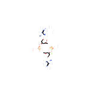 C=N/C(N)=C1/N=CN([C@@H]2O[C@@H]3COP(=O)(O)O[C@@H]4C(COP(=O)(O)O[C@H]3[C@H]2F)O[C@@H](n2cnc3c(N)ncnc32)[C@@H]4F)/C1=N/C